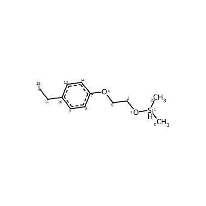 C[SiH](C)OCCOc1ccc(CI)cc1